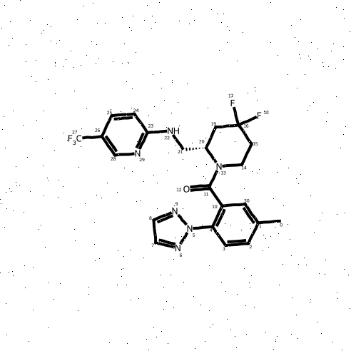 Cc1ccc(-n2nccn2)c(C(=O)N2CCC(F)(F)C[C@H]2CNc2ccc(C(F)(F)F)cn2)c1